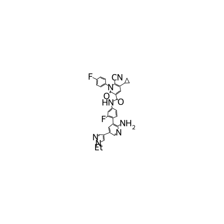 CCn1cc(-c2cnc(N)c(-c3ccc(NC(=O)c4cc(C5CC5)c(C#N)n(-c5ccc(F)cc5)c4=O)cc3F)c2)cn1